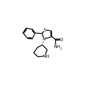 NC(=O)C1=CSC(c2ccccc2)N1[C@H]1CCCNC1